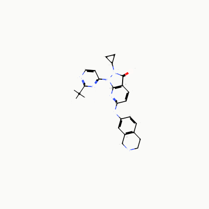 CC(C)(C)c1nccc(-n2c3nc(Nc4ccc5c(c4)CNCC5)ccc3c(=O)n2C2CC2)n1